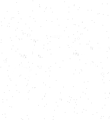 CCn1c(Nc2c(Cl)cccc2Cl)nc2cc(C(=O)Nc3cc(Cl)ccn3)ccc21